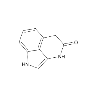 O=C1Cc2cccc3[nH]cc(c23)N1